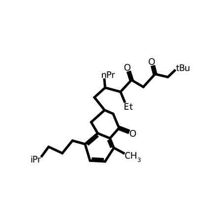 CCCC(CC1CC(=O)c2c(C)ccc(CCCC(C)C)c2C1)C(CC)C(=O)CC(=O)CC(C)(C)C